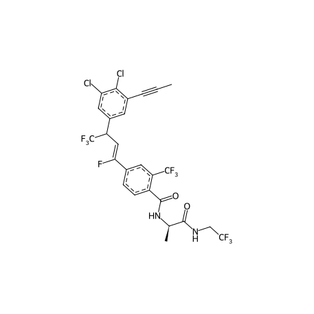 CC#Cc1cc(C(/C=C(\F)c2ccc(C(=O)N[C@H](C)C(=O)NCC(F)(F)F)c(C(F)(F)F)c2)C(F)(F)F)cc(Cl)c1Cl